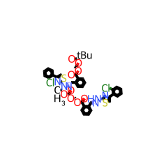 CC(OC(=O)OCOC(=O)c1ccccc1/C=N/Nc1nc(-c2ccccc2Cl)cs1)N(/N=C/c1ccccc1C(=O)OCOC(=O)C(C)(C)C)c1nc(-c2ccccc2Cl)cs1